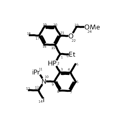 CCC(Pc1c(C)cccc1N(C(C)C)C(C)I)c1cc(C)ccc1OCOC